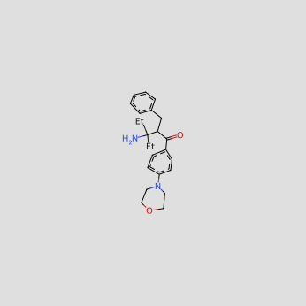 CCC(N)(CC)C(Cc1ccccc1)C(=O)c1ccc(N2CCOCC2)cc1